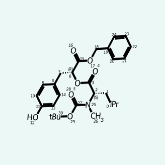 CC(C)C[C@@H](C(=O)O[C@H](Cc1ccc(O)cc1)C(=O)OCc1ccccc1)N(C)C(=O)OC(C)(C)C